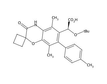 Cc1ccc(-c2c(C)c3c(c(C)c2[C@H](OC(C)(C)C)C(=O)O)NC(=O)C2(CCC2)O3)cc1